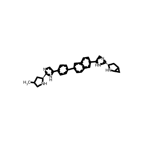 CC1CN[C@H](c2ncc(-c3ccc(-c4ccc5cc(-c6cnc([C@@H]7CC8CC8N7)[nH]6)ccc5c4)cc3)[nH]2)C1